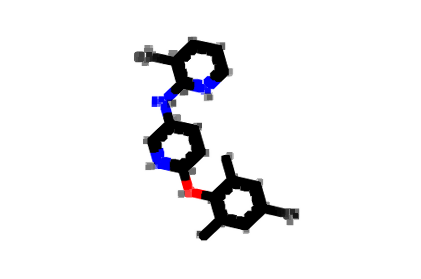 Cc1cc(C#N)cc(C)c1Oc1ccc(Nc2ncccc2[N+](=O)[O-])cn1